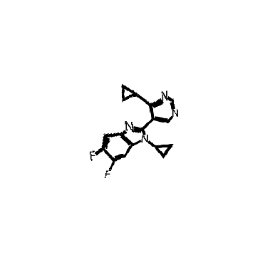 Fc1cc2nc(-c3cncnc3C3CC3)n(C3CC3)c2cc1F